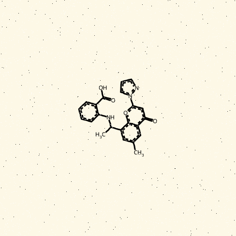 Cc1cc(C(C)Nc2ccccc2C(=O)O)c2oc(-n3cccn3)cc(=O)c2c1